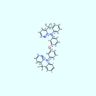 CC1(C)c2ccccc2N(c2cccc(Oc3cccc(N4c5ccccc5C(C)(C)c5cccnc54)c3)c2)c2ncccc21